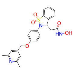 Cc1cc(COc2ccc(N3C(CC(=O)NO)c4ccccc4S3(=O)=O)cc2)cc(C)n1